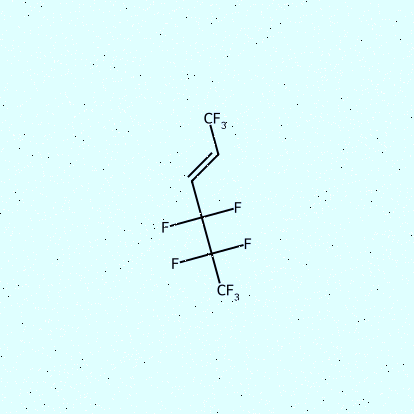 FC(F)(F)C=CC(F)(F)C(F)(F)C(F)(F)F